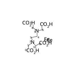 O=C(O)CN(CCN(CC(=O)O)CC(=O)O)CC(=O)O.[Fe].[Fe]